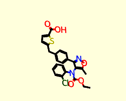 CCOC(=O)N(c1ccccc1Cl)c1c(-c2ccc(Cc3ccc(C(=O)O)s3)cc2)noc1C